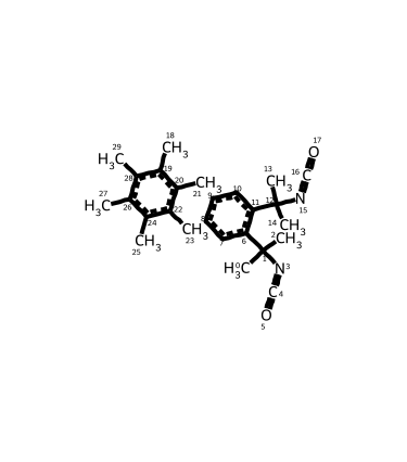 CC(C)(N=C=O)c1ccccc1C(C)(C)N=C=O.Cc1c(C)c(C)c(C)c(C)c1C